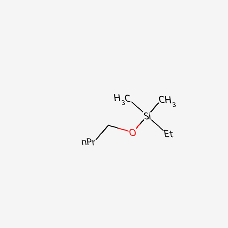 CCCCO[Si](C)(C)CC